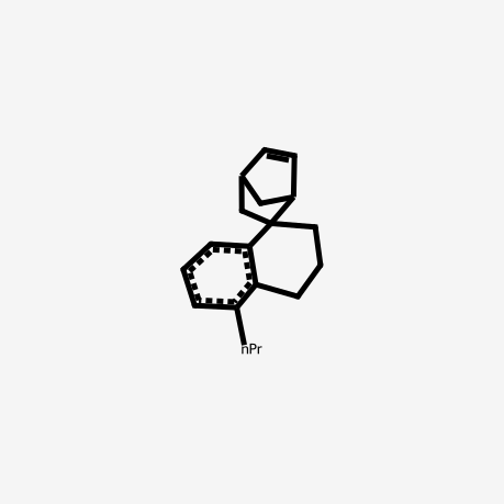 CCCc1cccc2c1CCCC21CC2C=CC1C2